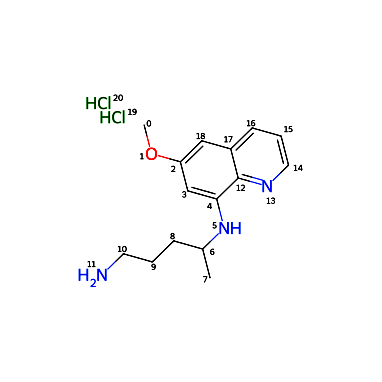 COc1cc(NC(C)CCCN)c2ncccc2c1.Cl.Cl